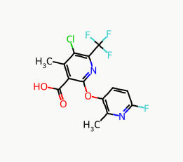 Cc1nc(F)ccc1Oc1nc(C(F)(F)F)c(Cl)c(C)c1C(=O)O